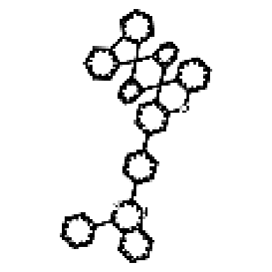 c1ccc(-c2nc(-c3ccc(-c4ccc5c(c4)Oc4ccccc4C54c5ccccc5C5(c6ccccc6-c6ccccc65)c5ccccc54)cc3)nc3ccccc23)cc1